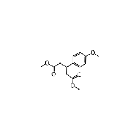 COC(=O)CC(CC(=O)OC)c1ccc(OC)cc1